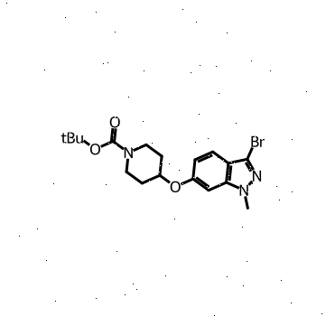 Cn1nc(Br)c2ccc(OC3CCN(C(=O)OC(C)(C)C)CC3)cc21